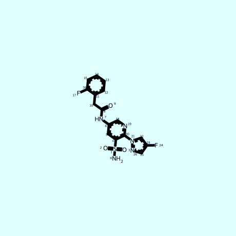 NS(=O)(=O)c1cc(NC(=O)Cc2ccccc2F)cnc1-n1cc(F)cn1